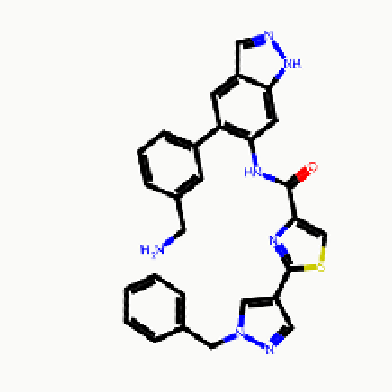 NCc1cccc(-c2cc3cn[nH]c3cc2NC(=O)c2csc(-c3cnn(Cc4ccccc4)c3)n2)c1